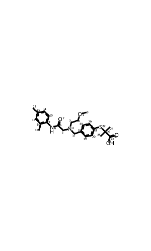 COCCN(CC(=O)Nc1ccc(C)cc1C)Cc1ccc(SC(C)(C)C(=O)O)cc1